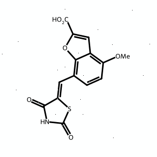 COc1ccc(C=C2SC(=O)NC2=O)c2oc(C(=O)O)cc12